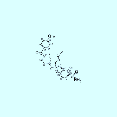 COCC[N+]1(CC2CCN(C(=O)c3ccc(OC)cc3)CC2)C=c2c(C)c(C(N)=O)ccc2=N1